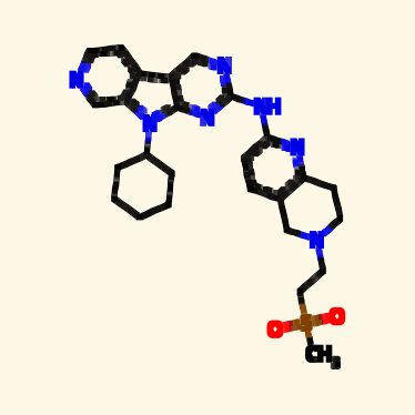 CS(=O)(=O)CCN1CCc2nc(Nc3ncc4c5ccncc5n(C5CCCCC5)c4n3)ccc2C1